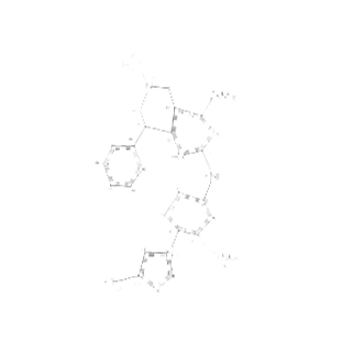 CNc1nc(Nc2ccc(-n3cnc(Cl)c3)c(OC)c2)nc2c1CN(C)CC2c1ccccc1